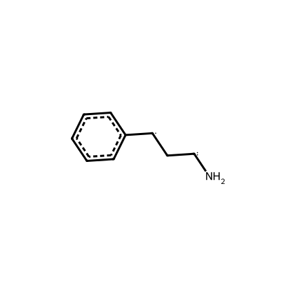 N[C]C[CH]c1ccccc1